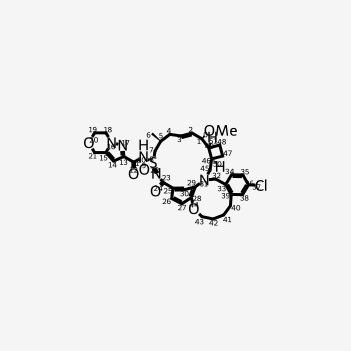 CO[C@H]1/C=C/C[C@H](C)CS(=O)(NC(=O)c2cc3n(n2)CCOC3)=NC(=O)c2ccc3c(c2)N(Cc2ccc(Cl)cc2CCCCO3)C[C@@H]2CC[C@H]21